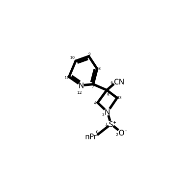 CCC[S+]([O-])N1CC(C#N)(c2ccccn2)C1